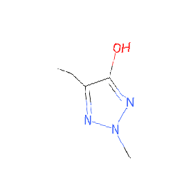 Cc1nn(C)nc1O